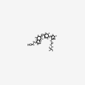 C[Si](C)(C)CCOCn1nccc1-c1ccc(Oc2ccc3c(CCO)coc3c2)nc1